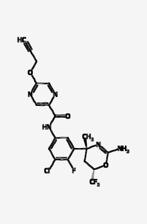 C#CCOc1cnc(C(=O)Nc2cc(Cl)c(F)c([C@@]3(C)C[C@@H](C(F)(F)F)OC(N)=N3)c2)cn1